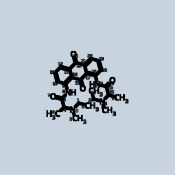 CCN(C)C(C)C(=O)Nc1cccc2c1C(=O)c1c(NC(=O)C(C)N(C)CC)cccc1C2=O